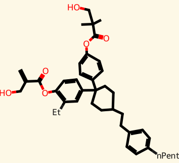 C=C(CO)C(=O)Oc1ccc(C2(c3ccc(OC(=O)C(C)(C)CO)cc3)CCC(CCc3ccc(CCCCC)cc3)CC2)cc1CC